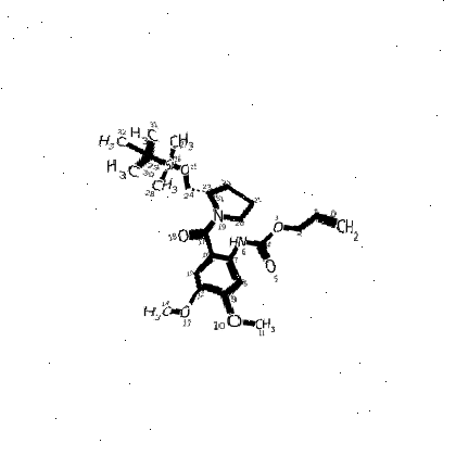 C=CCOC(=O)Nc1cc(OC)c(OC)cc1C(=O)N1CCC[C@H]1CO[Si](C)(C)C(C)(C)C